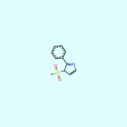 CS(=O)(=O)C1C=CN=C1c1ccccc1